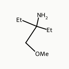 CCC(N)(CC)COC